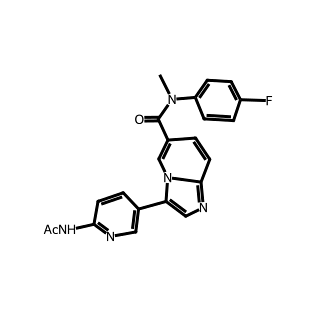 CC(=O)Nc1ccc(-c2cnc3ccc(C(=O)N(C)c4ccc(F)cc4)cn23)cn1